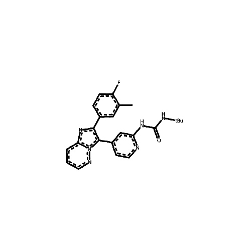 Cc1cc(-c2nc3cccnn3c2-c2ccnc(NC(=O)NC(C)(C)C)c2)ccc1F